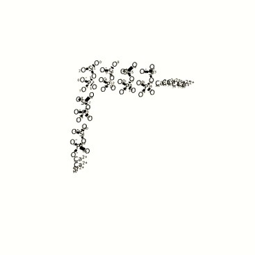 O=[Si]([O-])OP(=O)([O-])[O-].O=[Si]([O-])OP(=O)([O-])[O-].O=[Si]([O-])OP(=O)([O-])[O-].O=[Si]([O-])OP(=O)([O-])[O-].O=[Si]([O-])OP(=O)([O-])[O-].O=[Si]([O-])OP(=O)([O-])[O-].[Ca+2].[Ca+2].[Ca+2].[Ca+2].[Ca+2].[Ca+2].[Ca+2].[Sr+2].[Zn+2]